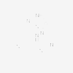 Cc1cc(-c2c(-c3ccccc3)nc(N)[n+]3c(=O)n(CCN4CCCCCC4c4cccn4C)[nH]c23)cc(C)n1